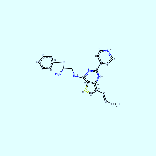 NC(CNc1nc(-c2ccncc2)nc2c(C=CC(=O)O)csc12)Cc1ccccc1